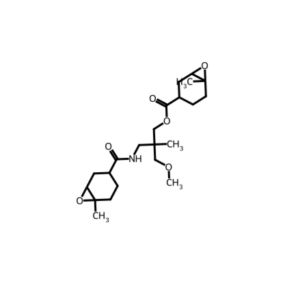 COCC(C)(CNC(=O)C1CCC2(C)OC2C1)COC(=O)C1CCC2(C)OC2C1